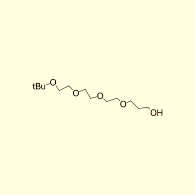 CC(C)(C)OCCOCCOCCOCCCO